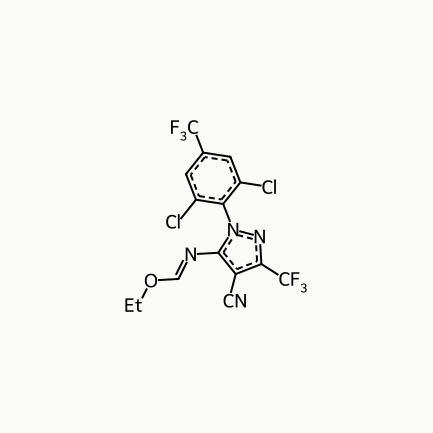 CCO/C=N/c1c(C#N)c(C(F)(F)F)nn1-c1c(Cl)cc(C(F)(F)F)cc1Cl